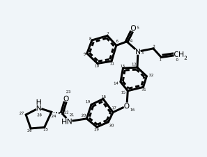 C=CCN(C(=O)c1ccccc1)c1ccc(Oc2ccc(NC(=O)[C@@H]3CCCN3)cc2)cc1